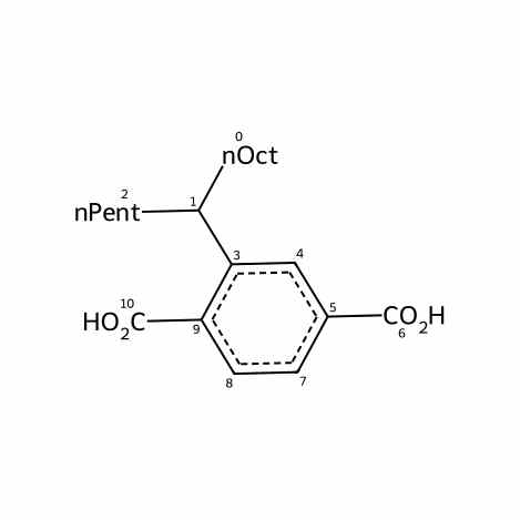 CCCCCCCCC(CCCCC)c1cc(C(=O)O)ccc1C(=O)O